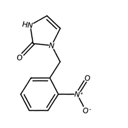 O=c1[nH]ccn1Cc1ccccc1[N+](=O)[O-]